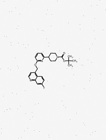 CC(C)(C)OC(=O)N1CCC(c2cccc(OCc3ccnc4cc(F)ccc34)n2)CC1